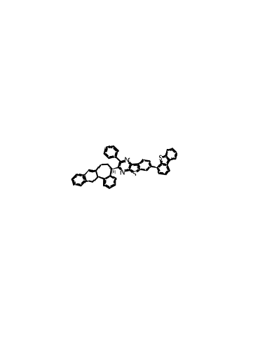 C1=C2CC[C@@H](c3nc4sc5cc(-c6cccc7c6sc6ccccc67)ccc5c4nc3-c3ccccc3)c3ccccc3C2Cc2ccccc21